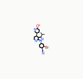 COc1ccc(-c2ccnc3c2c(C(C)C)nn3-c2ccc(C#N)c(Br)c2)cn1